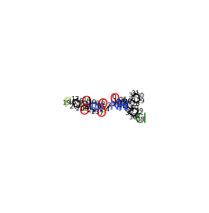 O=C(NCCS(=O)(=O)N1CCN(S(=O)(=O)c2ccc(F)cc2)CC1)N1C[C@@H](c2ccccc2)C(c2ccc(Cl)cc2)=N1